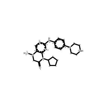 CN1CC(=O)N(C2CCCC2)c2nc(Nc3ccc(N4CCNCC4)cc3)ncc21